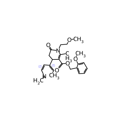 C=N/C=C\C(=C/C)C1CC(=O)N(CCOC)C(C)=C1C(=O)OCc1ccccc1OC